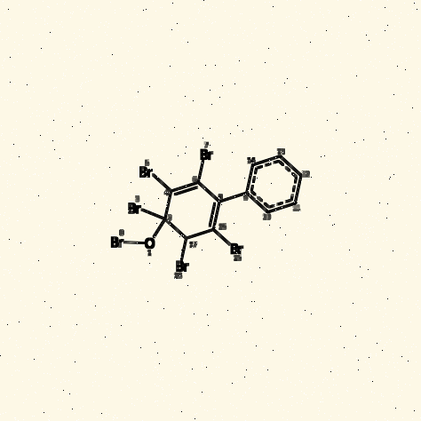 BrOC1(Br)C(Br)=C(Br)C(c2ccccc2)=C(Br)C1Br